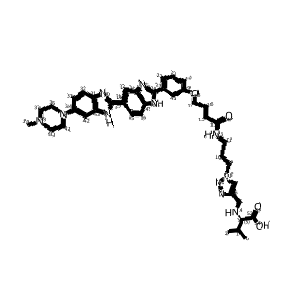 CC(C)[C@H](NCc1cn(CCCNC(=O)CCCOc2cccc(-c3nc4cc(-c5nc6ccc(N7CCN(C)CC7)cc6[nH]5)ccc4[nH]3)c2)nn1)C(=O)O